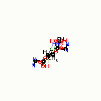 Cc1c(COc2cc(OCc3cncc(C#N)c3)c(CO)cc2Cl)cccc1-c1cccc(COc2cc(OCc3cncc(C#N)c3)c(CNC(C(=O)O)C(C)O)cc2Cl)c1C